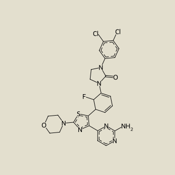 Nc1nccc(-c2nc(N3CCOCC3)sc2C2C=CC=C(N3CCN(c4ccc(Cl)c(Cl)c4)C3=O)C2F)n1